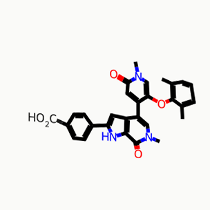 Cc1cccc(C)c1Oc1cn(C)c(=O)cc1-c1cn(C)c(=O)c2[nH]c(-c3ccc(C(=O)O)cc3)cc12